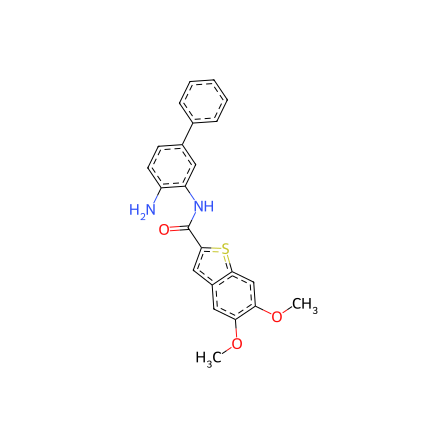 COc1cc2cc(C(=O)Nc3cc(-c4ccccc4)ccc3N)sc2cc1OC